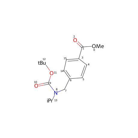 COC(=O)c1ccc(CN(C(=O)OC(C)(C)C)C(C)C)cc1